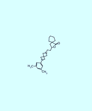 Cc1cc(C)cc(N2CC3(CN(CCC4CC5(CCCCC5)C(=O)O4)C3)C2)c1